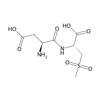 CS(=O)(=O)C[C@H](NC(=O)[C@@H](N)CC(=O)O)C(=O)O